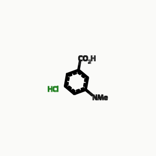 CNc1cccc(C(=O)O)c1.Cl